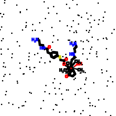 C[C@@H]1CC[C@@]23CCC(=O)[C@H]2[C@]1(C)[C@H](OC(=O)CSc1ccc(CC(=O)NCCCN)cc1)C[C@](C)(CCNCCCN)[C@@H](O)[C@@H]3C